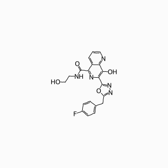 O=C(NCCO)c1nc(-c2nnc(Cc3ccc(F)cc3)o2)c(O)c2ncccc12